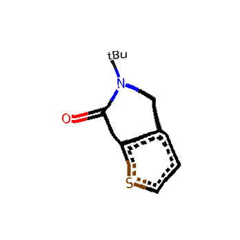 CC(C)(C)N1Cc2ccsc2C1=O